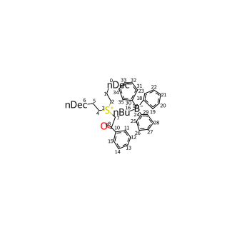 CCCCCCCCCCCC[S+](CCCCCCCCCCCC)CC(=O)c1ccccc1.CCCC[B-](c1ccccc1)(c1ccccc1)c1ccccc1